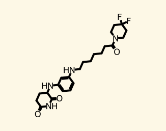 O=C1CCC(Nc2cccc(NCCCCCCC(=O)N3CCC(F)(F)CC3)c2)C(=O)N1